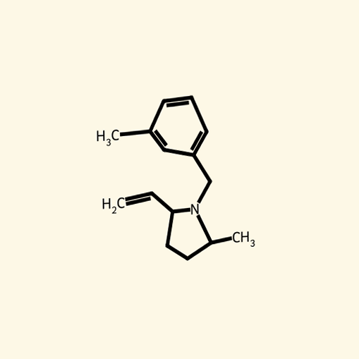 C=CC1CCC(C)N1Cc1cccc(C)c1